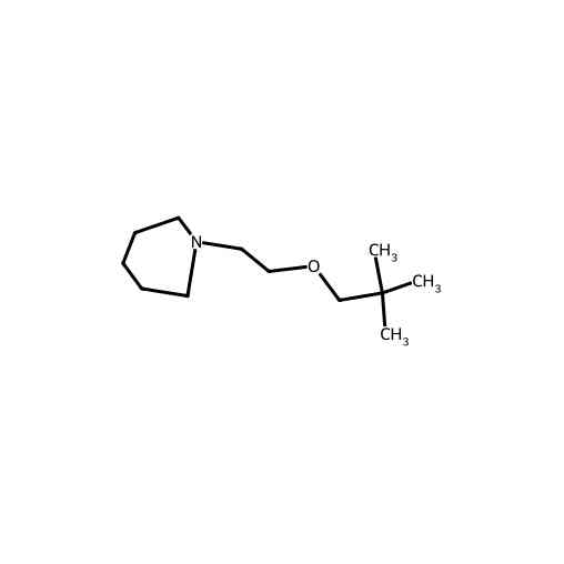 CC(C)(C)COCCN1CCCCC1